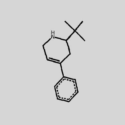 CC(C)(C)C1CC(c2ccccc2)=CCN1